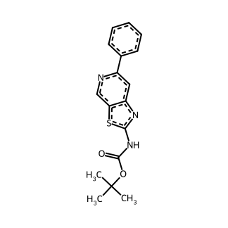 CC(C)(C)OC(=O)Nc1nc2cc(-c3ccccc3)ncc2s1